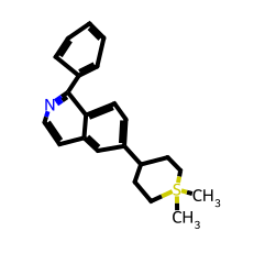 CS1(C)CCC(c2ccc3c(-c4ccccc4)nccc3c2)CC1